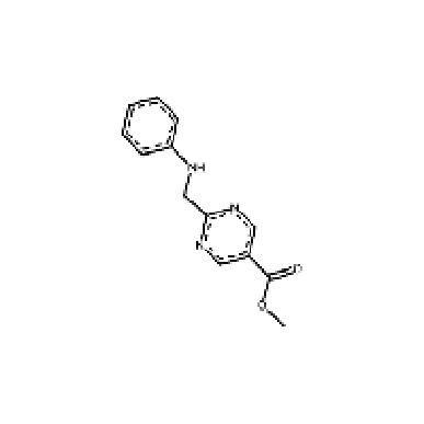 COC(=O)c1cnc(CNc2ccccc2)nc1